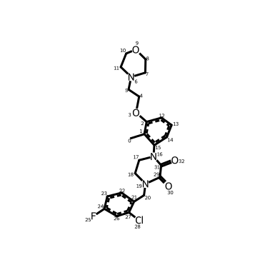 Cc1c(OCCN2CCOCC2)cccc1N1CCN(Cc2ccc(F)cc2Cl)C(=O)C1=O